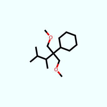 COCC(COC)(C1CCCCC1)C(C)C(C)C